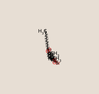 CCCCCCCCCCCCCCCC(=O)Oc1cc(C)c2c(c1)CC[C@@H]1[C@@H]2CC[C@]2(C)[C@@H](OC(=O)CBr)CC[C@@H]12